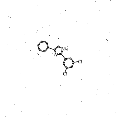 Clc1cc(Cl)cc(-c2nc(-c3ccccc3)c[nH]2)c1